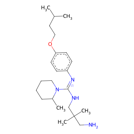 CC(C)CCOc1ccc(/N=C(/NCC(C)(C)CN)N2CCCCC2C)cc1